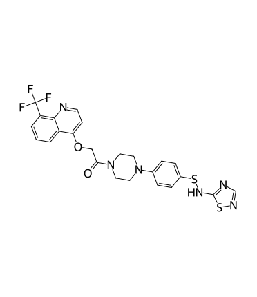 O=C(COc1ccnc2c(C(F)(F)F)cccc12)N1CCN(c2ccc(SNc3ncns3)cc2)CC1